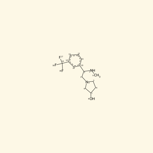 CNC(CN1CCC(O)C1)c1cccc(C(F)(F)F)c1